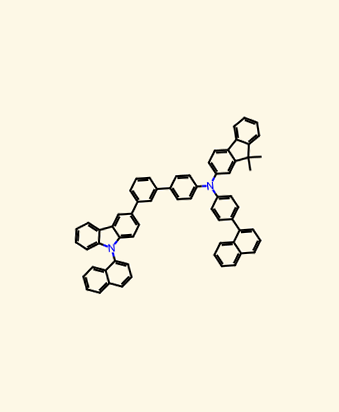 CC1(C)c2ccccc2-c2ccc(N(c3ccc(-c4cccc(-c5ccc6c(c5)c5ccccc5n6-c5cccc6ccccc56)c4)cc3)c3ccc(-c4cccc5ccccc45)cc3)cc21